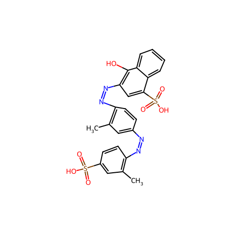 Cc1cc(S(=O)(=O)O)ccc1/N=N\c1ccc(/N=N\c2cc(S(=O)(=O)O)c3ccccc3c2O)c(C)c1